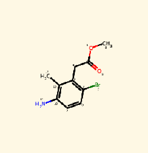 COC(=O)Cc1c(Br)ccc(N)c1C